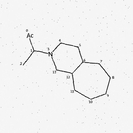 CC(=O)C(C)N1CCC2CCCCCC2C1